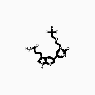 NC(=O)C=Cc1c[nH]c2ncc(-c3cnc(=O)n(CCOCC(F)(F)F)c3)cc12